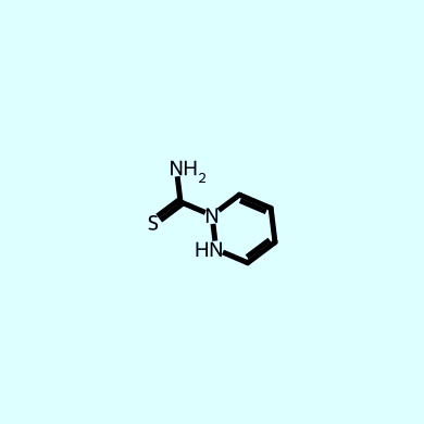 NC(=S)N1C=CC=CN1